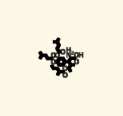 CCCC(C)C(=O)OC(C)C(C)C(c1ccc(OC(=O)CCC(C)C)c(OC(=O)CCC(C)C)c1)[C@H](N)C(=O)O